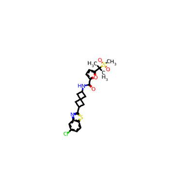 CC(C)(c1ccc(C(=O)NC2CC3(C2)CC(c2nc4cc(Cl)ccc4s2)C3)o1)S(C)(=O)=O